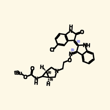 CC(C)(C)OC(=O)NC1[C@H]2CN(CCO/N=C3/C(=C4/C(=O)Nc5ccc(Cl)cc54)Nc4ccccc43)C[C@@H]12